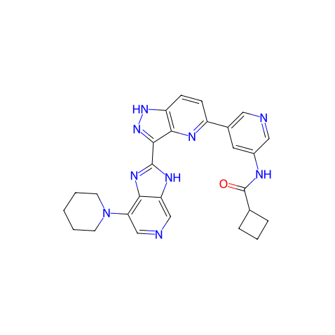 O=C(Nc1cncc(-c2ccc3[nH]nc(-c4nc5c(N6CCCCC6)cncc5[nH]4)c3n2)c1)C1CCC1